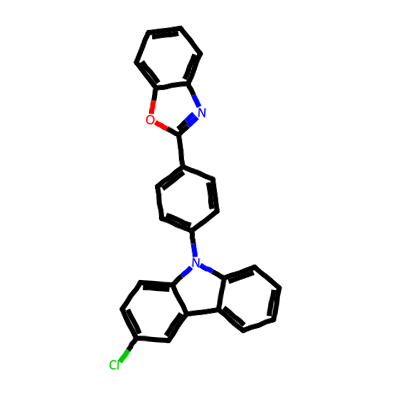 Clc1ccc2c(c1)c1ccccc1n2-c1ccc(-c2nc3ccccc3o2)cc1